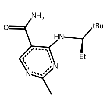 CC[C@@H](Nc1nc(C)ncc1C(N)=O)C(C)(C)C